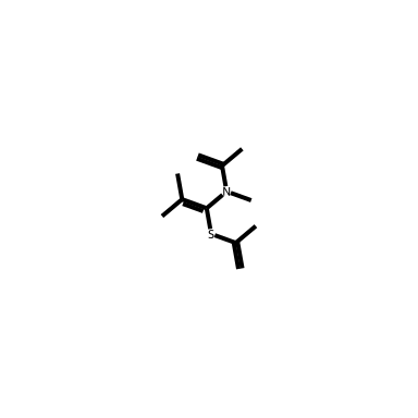 C=C(C)SC(=C(C)C)N(C)C(=C)C